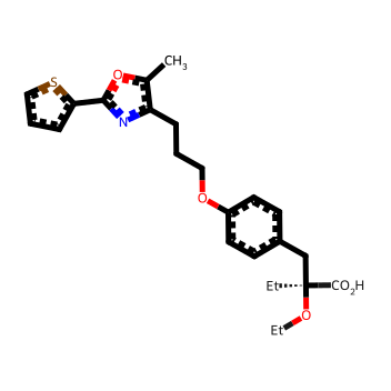 CCO[C@@](CC)(Cc1ccc(OCCCc2nc(-c3cccs3)oc2C)cc1)C(=O)O